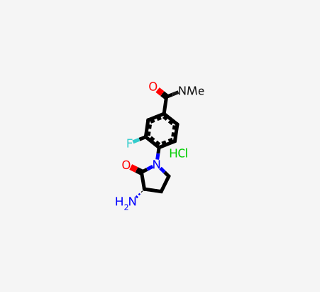 CNC(=O)c1ccc(N2CC[C@H](N)C2=O)c(F)c1.Cl